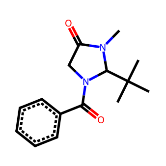 CN1C(=O)CN(C(=O)c2ccccc2)C1C(C)(C)C